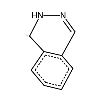 [C]1NN=Cc2ccccc21